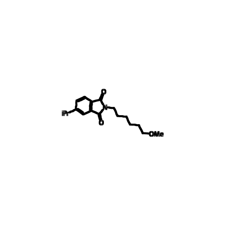 COCCCCCCN1C(=O)c2ccc(C(C)C)cc2C1=O